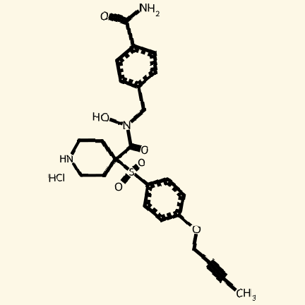 CC#CCOc1ccc(S(=O)(=O)C2(C(=O)N(O)Cc3ccc(C(N)=O)cc3)CCNCC2)cc1.Cl